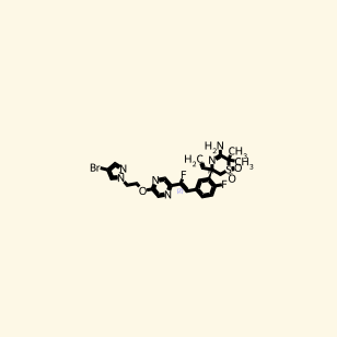 C=C[C@@]1(c2cc(/C=C(\F)c3cnc(OCCn4cc(Br)cn4)cn3)ccc2F)CS(=O)(=O)C(C)(C)C(N)=N1